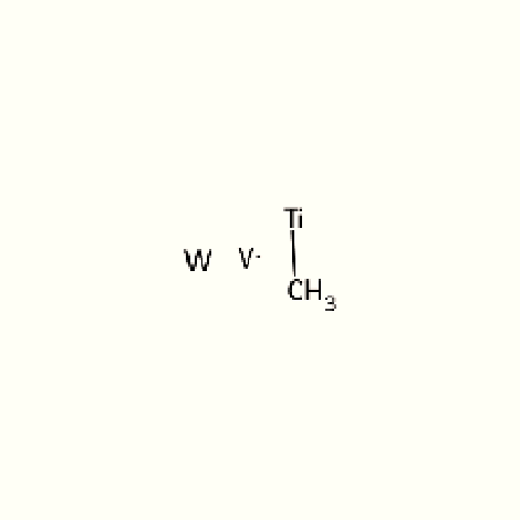 [CH3][Ti].[V].[W]